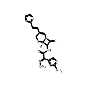 CO/N=C(/C(=O)NC1C(=O)N2C=C(/C=C/c3nccs3)CS[C@H]12)c1csc(N)n1